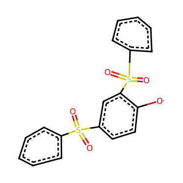 [O]c1ccc(S(=O)(=O)c2ccccc2)cc1S(=O)(=O)c1ccccc1